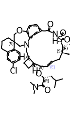 CC(C)C[C@@H](O[C@H]1/C=C/C[C@H](C)[C@@H](C)S(=O)(=O)NC(=O)c2ccc3c(c2)N(C[C@@H]2CC[C@H]21)C[C@@]1(CCCc2cc(Cl)ccc21)CO3)C(=O)N(C)C